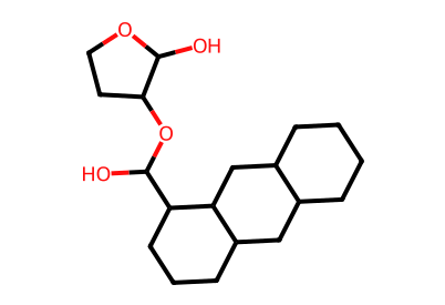 OC1OCCC1OC(O)C1CCCC2CC3CCCCC3CC21